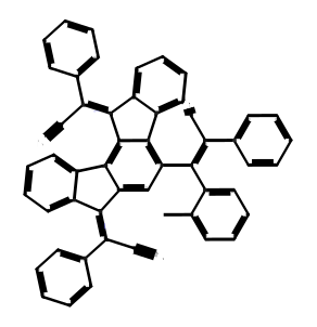 Cc1ccccc1/C(=C(/C#N)c1ccccc1)c1cc2c(c3c1-c1ccccc1/C3=C(/C#N)c1ccccc1)-c1ccccc1/C2=C(/C#N)c1ccccc1